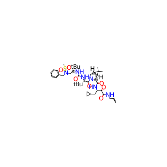 C=CCNC(=O)C(=O)C(CC1CC1)NC(=O)[C@@H]1[C@@H]2[C@H](CN1C(=O)[C@@H](NC(=O)N[C@H](CN(Cc1ccccc1)S(C)(=O)=O)C(C)(C)C)C(C)(C)C)C2(C)C